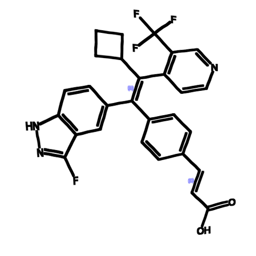 O=C(O)/C=C/c1ccc(/C(=C(\c2ccncc2C(F)(F)F)C2CCC2)c2ccc3[nH]nc(F)c3c2)cc1